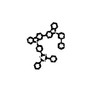 c1ccc(-c2cccc(-n3c4ccccc4c4cc(-c5ccc6c7ccccc7n(-c7ccc(-c8nc(-c9ccccc9)nc(-c9ccccc9)n8)cc7)c6c5)ccc43)c2)cc1